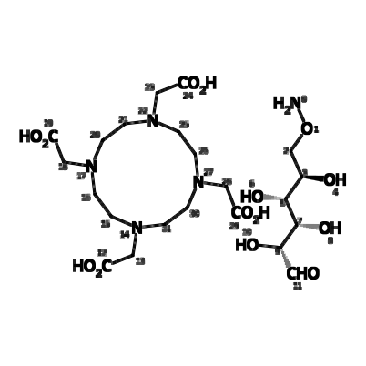 NOC[C@@H](O)[C@@H](O)[C@H](O)[C@@H](O)C=O.O=C(O)CN1CCN(CC(=O)O)CCN(CC(=O)O)CCN(CC(=O)O)CC1